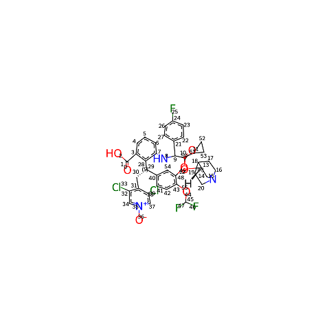 O=C(O)c1cccc(NC(C(=O)O[C@H]2CN3CCC2CC3)c2ccc(F)cc2)c1[C@@H](Cc1c(Cl)c[n+]([O-])cc1Cl)c1ccc(OC(F)F)c(OCC2CC2)c1